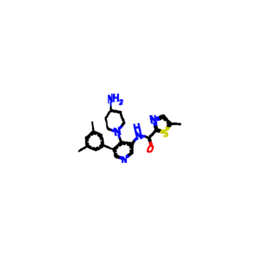 Cc1cc(C)cc(-c2cncc(NC(=O)c3ncc(C)s3)c2N2CCC(N)CC2)c1